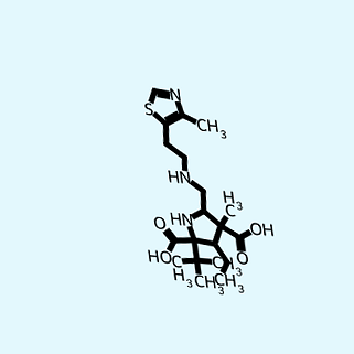 CCC1C(C)(C(=O)O)C(CNCCc2scnc2C)NC1(C(=O)O)C(C)(C)C